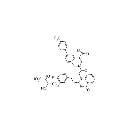 CCN(CC)CCN(Cc1ccc(-c2ccc(C(F)(F)F)cc2)cc1)C(=O)Cn1c(CCc2ccc(F)cc2)nc(=O)c2ccccc21.O=C(O)C(O)C(O)C(=O)O